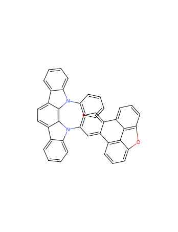 c1ccc(-n2c3ccccc3c3ccc4c5ccccc5n(-c5ccc6c(c5)c5cccc7oc8cccc6c8c75)c4c32)cc1